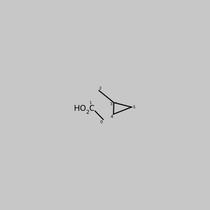 CC(=O)O.C[C]1CC1